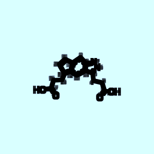 O=C(O)CCC1=NN=c2cc3c(cc21)=C(CCC(=O)O)C=C3